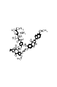 COc1ccc2cc(C3=CN4C(=O)c5cc(OC)c(OCCCOc6cc7c(cc6OC)C(=O)N6CC8(CC8)C[C@H]6C(O)N7C(=O)OCc6ccc(NC(=O)[C@H](C)NC(=O)[C@@H](N)C(C)C)cc6)cc5N=C[C@@H]4C3)ccc2c1